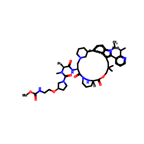 CO[C@@H](C)c1ncccc1-c1c2c3cc(ccc3n1CC(F)(F)F)[C@H]1CCCN(C1)C[C@H](NC(=O)[C@H](C(C)C)N(C)C(=O)N1CC[C@@H](OCCNC(=O)OC(C)(C)C)C1)C(=O)N1CCC[C@H](N1)C(=O)OCC(C)(C)C2